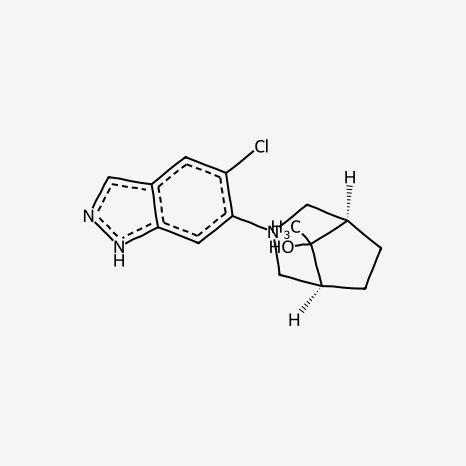 CC1(O)[C@@H]2CC[C@H]1CN(c1cc3[nH]ncc3cc1Cl)C2